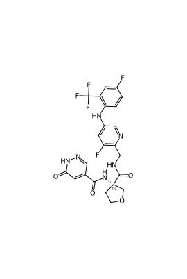 O=C(N[C@@]1(C(=O)NCc2ncc(Nc3ccc(F)cc3C(F)(F)F)cc2F)CCOC1)c1cn[nH]c(=O)c1